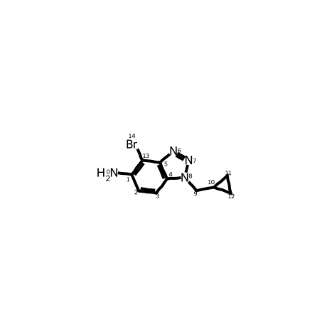 Nc1ccc2c(nnn2CC2CC2)c1Br